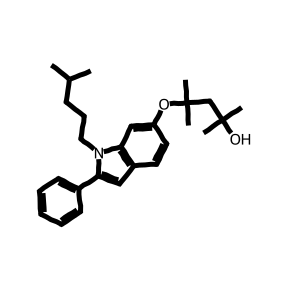 CC(C)CCCn1c(-c2ccccc2)cc2ccc(OC(C)(C)CC(C)(C)O)cc21